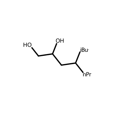 CCCC(CC(O)CO)[C](C)CC